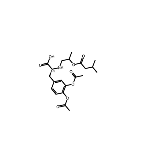 CC(=O)Oc1ccc(C[C@H](NCC(C)OC(=O)CC(C)C)C(=O)O)cc1OC(C)=O